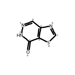 O=c1[nH]ncc2ncsc12